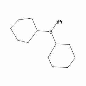 CC(C)B(C1CCCCC1)C1CCCCC1